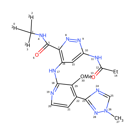 [2H]C([2H])([2H])NC(=O)c1nnc(NC(=O)CC)cc1Nc1nccc(-c2ncn(C)n2)c1OC